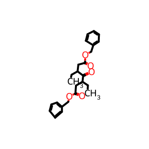 CCC(CC(=O)OCc1ccccc1)C(=O)C(CC)CC(=O)OCc1ccccc1